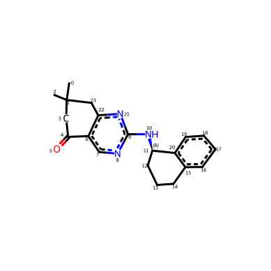 CC1(C)CC(=O)c2cnc(N[C@@H]3CCCc4ccccc43)nc2C1